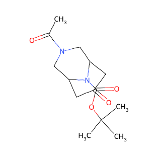 CC(=O)N1CC2CC(=O)CC(C1)N2C(=O)OC(C)(C)C